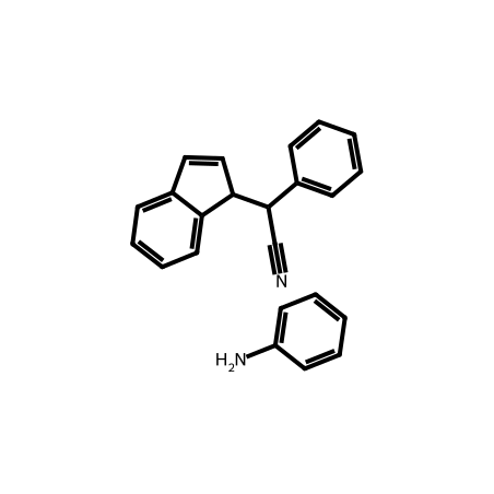 N#CC(c1ccccc1)C1C=Cc2ccccc21.Nc1ccccc1